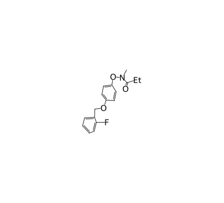 CCC(=O)N(C)Oc1ccc(OCc2ccccc2F)cc1